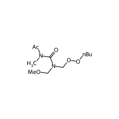 CCCCOOCN(COC)C(=O)N(C)C(C)=O